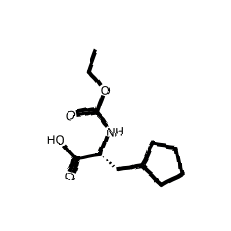 CCOC(=O)N[C@H](CC1CCCC1)C(=O)O